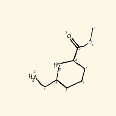 COC(=O)C1CCCC(CN)N1